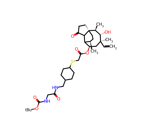 C=C[C@@]1(C)C[C@@H](OC(=O)CSC2CCC(CNC(=O)CNC(=O)OC(C)(C)C)CC2)C2C3C(=O)CC[C@@]3(CC[C@H]2C)[C@@H](C)[C@@H]1O